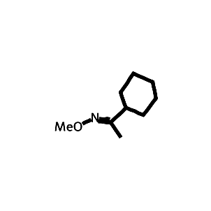 CO/N=C(\C)C1CCCCC1